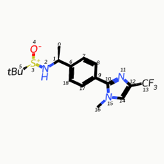 C[C@H](N[S@+]([O-])C(C)(C)C)c1ccc(-c2nc(C(F)(F)F)cn2C)cc1